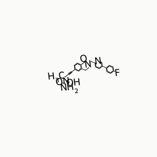 CC(C#Cc1ccc2c(c1)CCN(Cc1ccc(-c3ccc(F)cc3)cn1)C2=O)N(O)C(N)=O